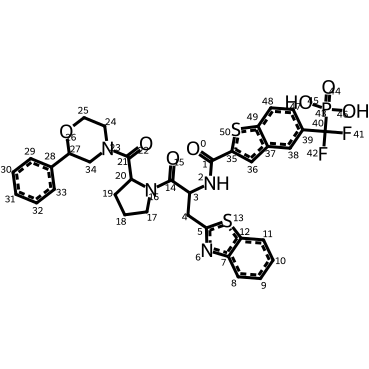 O=C(NC(Cc1nc2ccccc2s1)C(=O)N1CCCC1C(=O)N1CCOC(c2ccccc2)C1)c1cc2cc(C(F)(F)P(=O)(O)O)ccc2s1